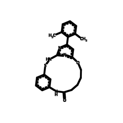 Cc1cccc(C)c1-c1cc2nc(n1)NSc1cccc(c1)NC(=O)CCCCO2